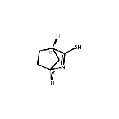 SC1=N[C@@H]2CC[C@H]1C2